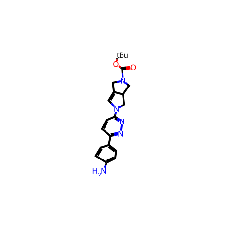 CC(C)(C)OC(=O)N1CC2=CN(c3ccc(-c4ccc(N)cc4)nn3)CC2C1